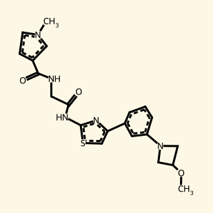 COC1CN(c2cccc(-c3csc(NC(=O)CNC(=O)c4ccn(C)c4)n3)c2)C1